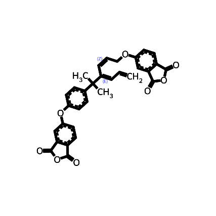 C=C/C=C(\C=C/COc1ccc2c(c1)C(=O)OC2=O)C(C)(C)c1ccc(Oc2ccc3c(c2)C(=O)OC3=O)cc1